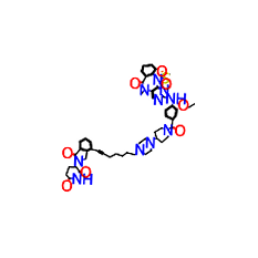 CCOc1cc(C(=O)N2CCC(N3CCN(CCCCCC#Cc4cccc5c4CN(C4CCC(=O)NC4=O)C5=O)CC3)CC2)ccc1Nc1ncc2c(n1)N(S(C)(=O)=O)c1ccccc1C(=O)N2C